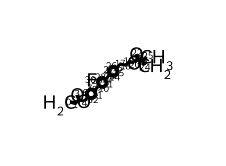 C=CC(=O)Oc1ccc(-c2ccc(-c3ccc(CCCOC(=O)C(=C)C)cc3)cc2F)cc1